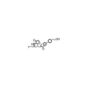 O=C1N(CC(CNCCF)c2occc(=O)c2O)Cc2cc(-c3ccc(CCO)cc3)cn21